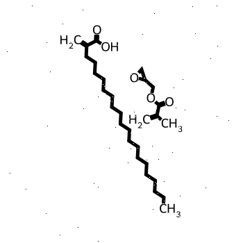 C=C(C)C(=O)OCC1CO1.C=C(CCCCCCCCCCCCCCCCCCC)C(=O)O